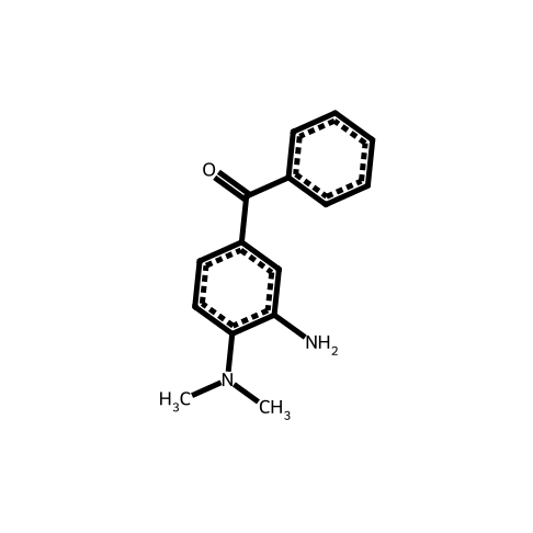 CN(C)c1ccc(C(=O)c2ccccc2)cc1N